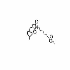 CCOC(=O)CCCCCCN1C(=O)CC(=Cc2ccc(C)cc2)C1=O